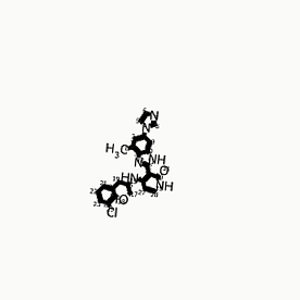 Cc1cc(-n2ccnc2)cc2[nH]c(-c3c(NC(CO)Cc4cccc(Cl)c4)cc[nH]c3=O)nc12